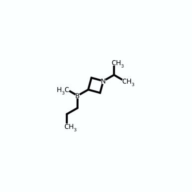 CCCB(C)C1CN(C(C)C)C1